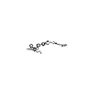 [N-]=[N+]=NCCCCCCOCCN1CCN(c2ccc(N3CCC[C@H](Oc4cc(-c5ccccc5O)nnc4N)C3)cc2)CC1